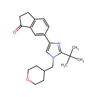 CC(C)(C)c1nc(-c2ccc3c(c2)C(=O)CC3)cn1CC1CCOCC1